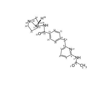 CC(=O)Nc1cccc(Sc2ccc(C(=O)N[C@H]3CN4CCC3CC4)cc2)n1